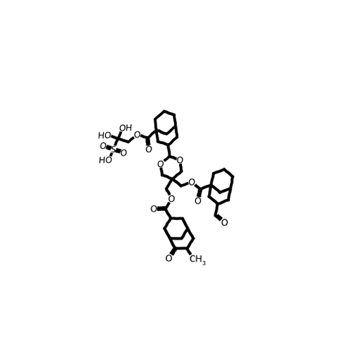 CC1CC2CC(C(=O)OCC3(COC(=O)C45CCCC(CC(C=O)C4)C5)COC(C4CC5CCCC(C(=O)OCC(O)(O)S(=O)(=O)O)(C5)C4)OC3)CC(C2)C1=O